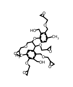 Cc1ccc(OC(COCC2CO2)C(OCC2CO2)c2cc(C)c(OCC3CO3)c(CO)c2COCC2CO2)c(CO)c1COCC1CO1